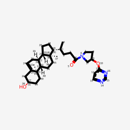 CC(CCC(=O)N1CCC(Oc2ccncn2)C1)[C@H]1CC[C@H]2[C@@H]3CC=C4C[C@@H](O)CC[C@]4(C)[C@H]3CC[C@]12C